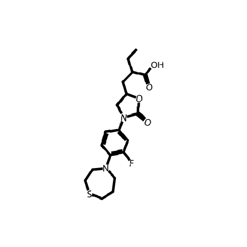 CCC(CC1CN(c2ccc(N3CCCSCC3)c(F)c2)C(=O)O1)C(=O)O